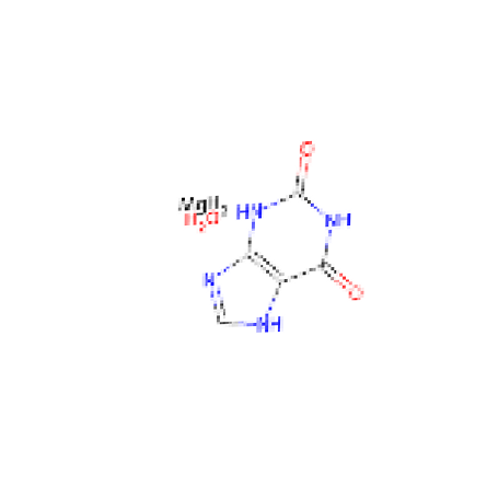 O.O=c1[nH]c(=O)c2[nH]cnc2[nH]1.[MgH2]